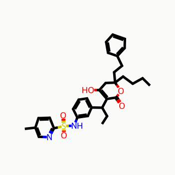 CCCCC1(CCc2ccccc2)CC(O)=C(C(CC)c2cccc(NS(=O)(=O)c3ccc(C)cn3)c2)C(=O)O1